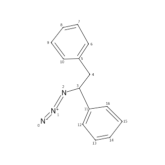 [N-]=[N+]=NC(Cc1ccccc1)c1ccccc1